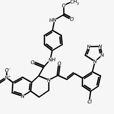 COC(=O)Nc1ccc(NC(=O)C2c3cc([N+](=O)[O-])cnc3CCN2C(=O)/C=C/c2cc(Cl)ccc2-n2cnnn2)cc1